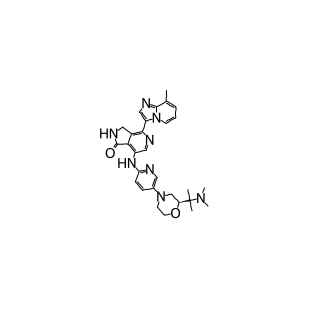 Cc1cccn2c(-c3ncc(Nc4ccc(N5CCO[C@H](C(C)(C)N(C)C)C5)cn4)c4c3CNC4=O)cnc12